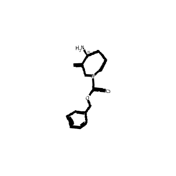 C=C1CN(C(=O)OCc2ccccc2)CCC[C@@H]1N